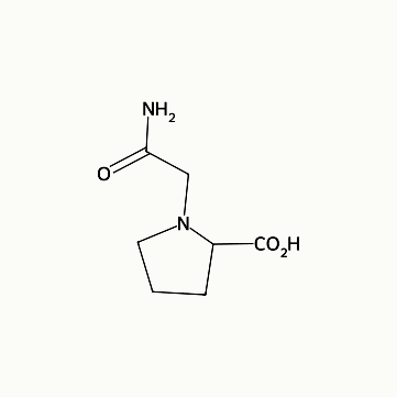 NC(=O)CN1CCCC1C(=O)O